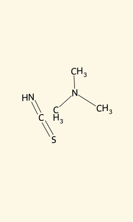 CN(C)C.N=C=S